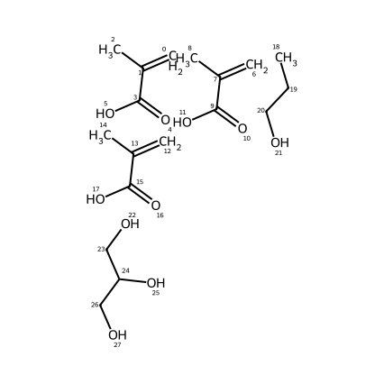 C=C(C)C(=O)O.C=C(C)C(=O)O.C=C(C)C(=O)O.CCCO.OCC(O)CO